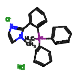 Cl.Cn1ccnc1-c1ccccc1[P+](C)(c1ccccc1)c1ccccc1.[Cl-]